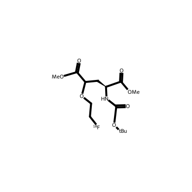 COC(=O)C(C[C@H](NC(=O)OC(C)(C)C)C(=O)OC)OCC[18F]